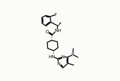 Cc1cnc(N[C@H]2CC[C@@H](C(=O)N[C@H](C)c3ccccc3F)CC2)nc1N(C)C